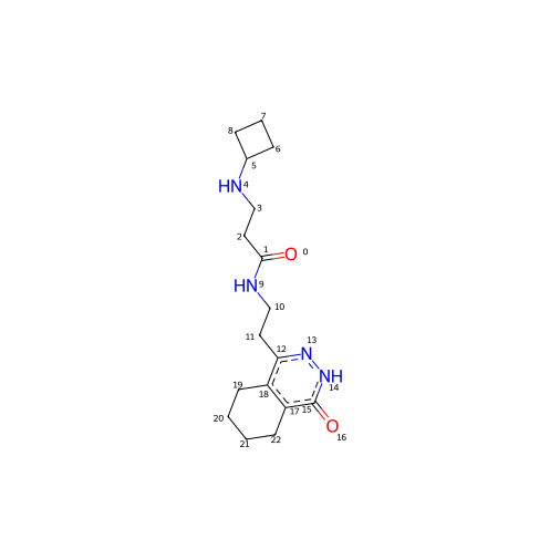 O=C(CCNC1CCC1)NCCc1n[nH]c(=O)c2c1CCCC2